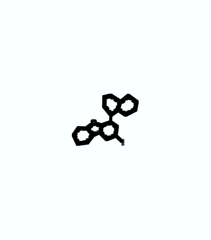 Ic1cc(-c2cccc3ccccc23)c2oc3ccccc3c2c1